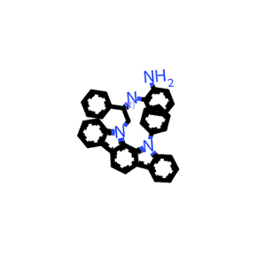 Nc1ccccc1/N=C(\Cn1c2ccccc2c2ccc3c4ccccc4n(-c4ccccc4)c3c21)c1ccccc1